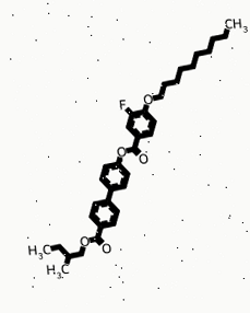 CCCCCCCCCCOc1ccc(C(=O)Oc2ccc(-c3ccc(C(=O)OCC(C)CC)cc3)cc2)cc1F